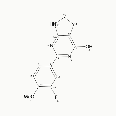 COc1ccc(-c2nc(O)c3c(n2)NCC3)cc1F